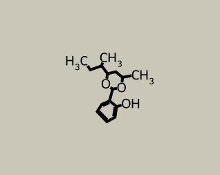 CCC(C)C1CC(C)OC(c2ccccc2O)O1